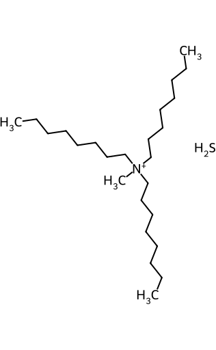 CCCCCCCC[N+](C)(CCCCCCCC)CCCCCCCC.S